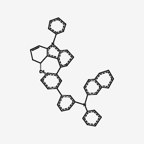 CC1CC=Cc2c1c1c(-c3cccc(-c4cccc(N(c5ccccc5)c5ccc6ccccc6c5)c4)c3)cccc1n2-c1ccccc1